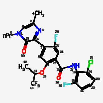 CCCn1cc(C)nc(-c2cc(OC(C)C(F)(F)F)c(C(=O)Nc3c(F)cccc3Cl)cc2F)c1=O